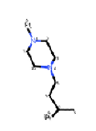 CCN1CCN(CCC(C)C(C)C)CC1